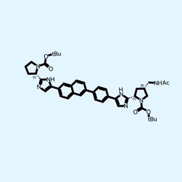 CC(=O)NC[C@H]1C[C@@H](c2ncc(-c3ccc(-c4ccc5cc(-c6cnc([C@@H]7CCCN7C(=O)OC(C)(C)C)[nH]6)ccc5c4)cc3)[nH]2)N(C(=O)OC(C)(C)C)C1